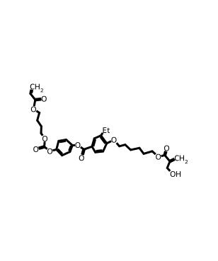 C=CC(=O)OCCCCOC(=O)Oc1ccc(OC(=O)c2ccc(OCCCCCCOC(=O)C(=C)CO)c(CC)c2)cc1